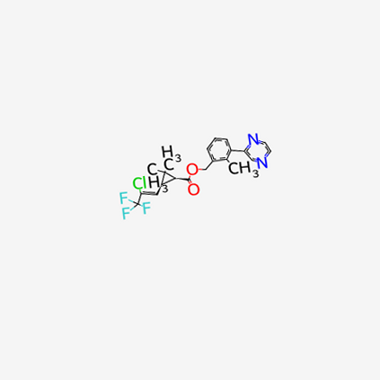 Cc1c(COC(=O)[C@H]2[C@@H](C=C(Cl)C(F)(F)F)C2(C)C)cccc1-c1cnccn1